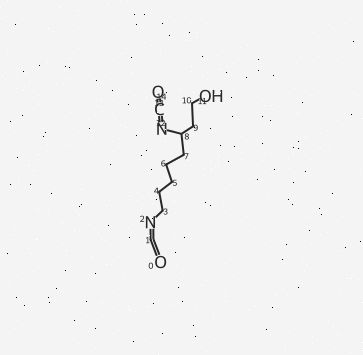 O=C=NCCCCCC(CCO)N=C=O